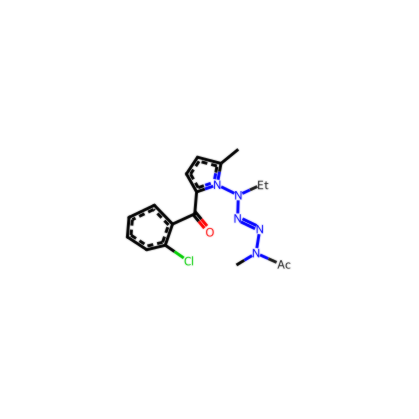 CCN(N=NN(C)C(C)=O)n1c(C)ccc1C(=O)c1ccccc1Cl